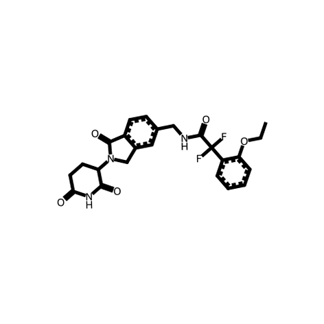 CCOc1ccccc1C(F)(F)C(=O)NCc1ccc2c(c1)CN(C1CCC(=O)NC1=O)C2=O